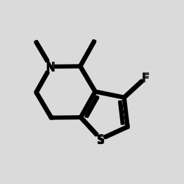 CC1c2c(F)csc2CCN1C